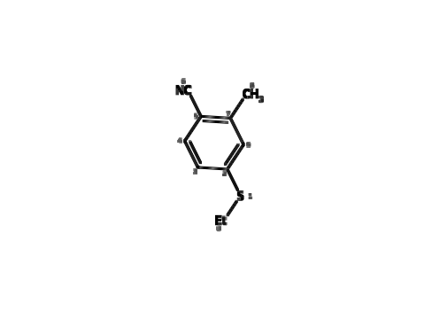 CCSc1ccc(C#N)c(C)c1